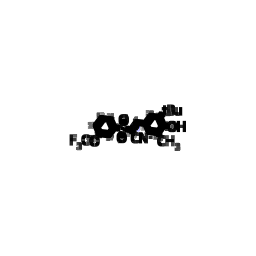 Cc1cc(/C=C(\C#N)S(=O)(=O)c2cccc(OC(F)(F)F)c2)cc(C(C)(C)C)c1O